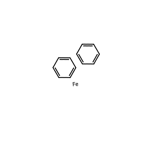 [Fe].c1ccccc1.c1ccccc1